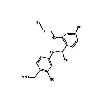 COCc1ccc(NC(O)c2ccc(Br)cc2NCOC(C)(C)C)cc1N=O